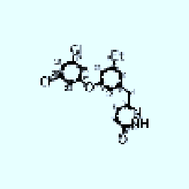 CCc1cc(Cc2ccc(=O)[nH]n2)cc(Oc2cc(Cl)cc(Cl)c2)c1